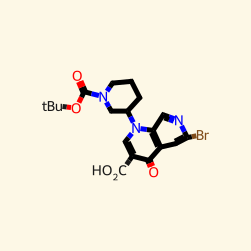 CC(C)(C)OC(=O)N1CCCC(n2cc(C(=O)O)c(=O)c3cc(Br)ncc32)C1